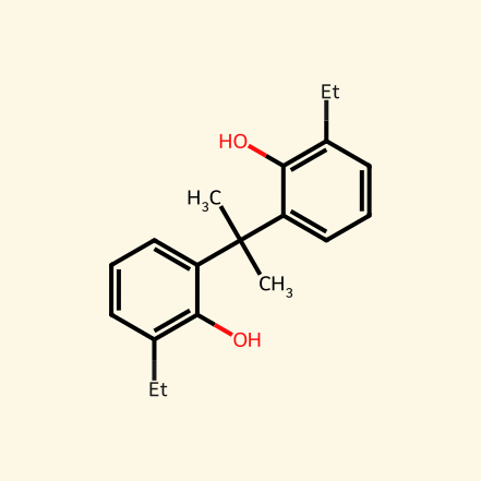 CCc1cccc(C(C)(C)c2cccc(CC)c2O)c1O